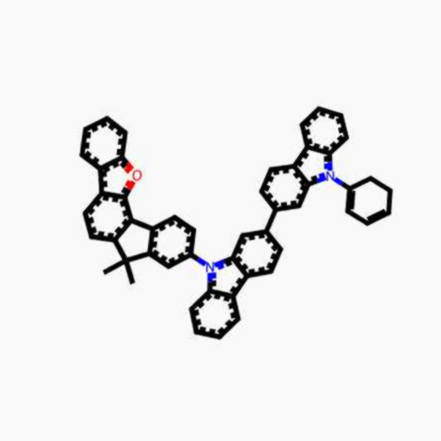 CC1(C)c2cc(-n3c4ccccc4c4ccc(-c5ccc6c7ccccc7n(C7=CC=CCC7)c6c5)cc43)ccc2-c2c1ccc1c2oc2ccccc21